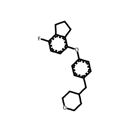 Fc1ccc(Oc2ccc(CC3CCOCC3)cc2)c2c1CCC2